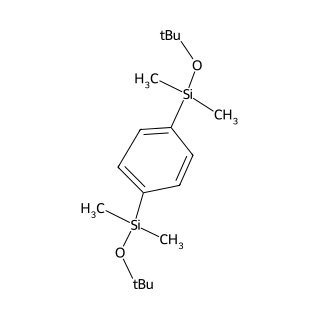 CC(C)(C)O[Si](C)(C)c1ccc([Si](C)(C)OC(C)(C)C)cc1